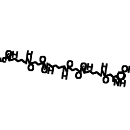 CC(=O)N(O)CCCCCNC(=O)CCC(=O)N(O)CCCCCNC(=O)CCC(=O)N(O)CCCCCNC(=O)Cc1c[nH]c2ccc(O)cc12